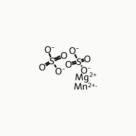 O=S(=O)([O-])[O-].O=S(=O)([O-])[O-].[Mg+2].[Mn+2]